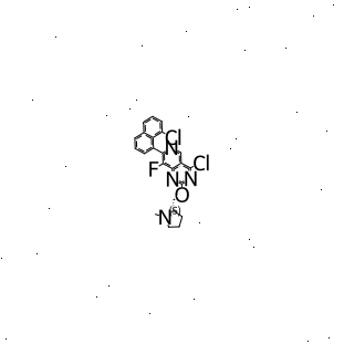 CN1CCC[C@H]1COc1nc(Cl)c2cnc(-c3cccc4cccc(Cl)c34)c(F)c2n1